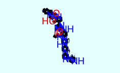 C=CC(=O)Nc1cc(Nc2nc(-c3ccnc(N4CCn5c(cc6c5CC(C)(C)C6)C4=O)c3CO)cn(C)c2=O)ccc1N1CCN(C2CCN(c3ccnc(N4CCNC[C@@H]4C)c3)[C@H](C)C2)C[C@@H]1C